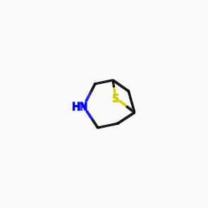 C1CC2CC(CN1)S2